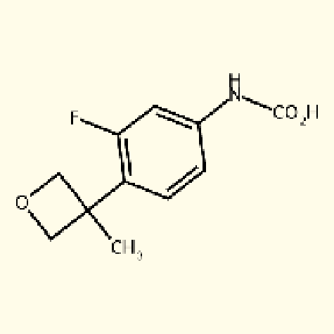 CC1(c2ccc(NC(=O)O)cc2F)COC1